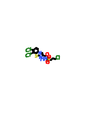 O=C(NS(=O)(=O)CCCCl)c1cn2c(n1)sc1c(Cl)c(Cl)ccc12